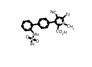 CCc1c(C#N)c(-c2ccc(-c3ccccc3NS(=O)(=O)C(C)C)cc2)c(C(=O)O)n1C